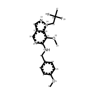 COc1ccc(CNc2ncc3cnn(CC(C)(F)F)c3c2OC)cc1